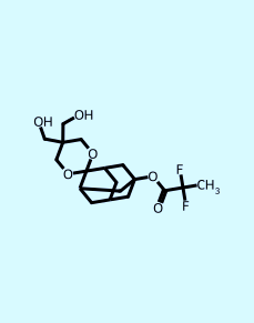 CC(F)(F)C(=O)OC12CC3CC(C1)C1(OCC(CO)(CO)CO1)C(C3)C2